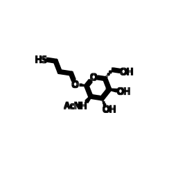 CC(=O)N[C@H]1[C@H](OCCCS)O[C@H](CO)[C@@H](O)[C@@H]1O